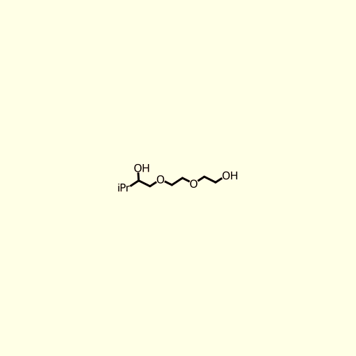 CC(C)C(O)COCCOCCO